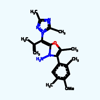 C=C(C)/C(=C1/OC(C)=C(c2cc(C)c(OC)cc2C)N1N)n1nc(C)nc1C